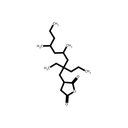 CCCC(C)CC(C)CC(CC)(CCC)CC1CC(=O)OC1=O